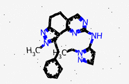 CCn1nccc1Nc1ncc2c(n1)-c1c(nn(C)c1Cc1ccccc1)CC2